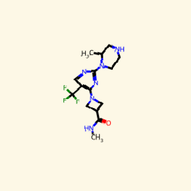 CNC(=O)C1CN(c2nc(N3CCNCC3C)ncc2C(F)(F)F)C1